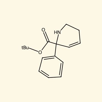 CC(C)(C)OC(=O)C1(c2ccccc2)C=CCCN1